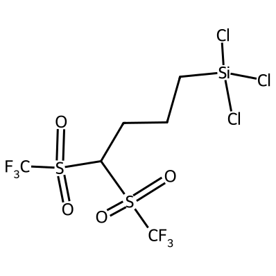 O=S(=O)(C(CCC[Si](Cl)(Cl)Cl)S(=O)(=O)C(F)(F)F)C(F)(F)F